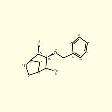 OC1C2COC(C2)[C@@H](O)[C@H]1OCc1ccccc1